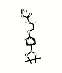 C[C@H](COc1ccc(B2OC(C)(C)C(C)(C)O2)cn1)NC(=O)OC(C)(C)C